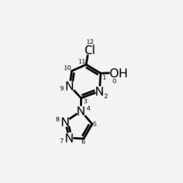 Oc1nc(-n2ccnn2)ncc1Cl